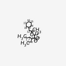 CCCC(CC)C1(C(=O)OC(C)CC2CCCCC2)OO1